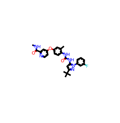 CNC(=O)c1cc(Oc2ccc(NC(=O)Nc3cc(C(C)(C)C)nn3-c3cccc(F)c3)c(C)c2)ccn1